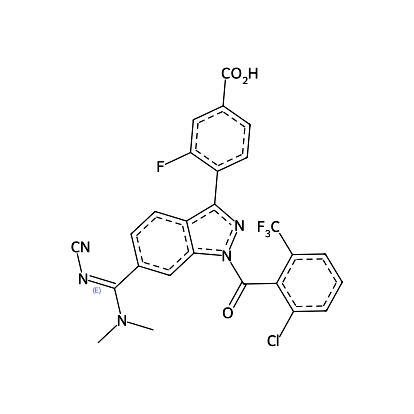 CN(C)/C(=N/C#N)c1ccc2c(-c3ccc(C(=O)O)cc3F)nn(C(=O)c3c(Cl)cccc3C(F)(F)F)c2c1